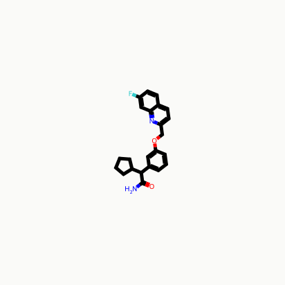 NC(=O)C(c1cccc(OCc2ccc3ccc(F)cc3n2)c1)C1CCCC1